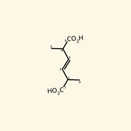 CC(C=CC(C)C(=O)O)C(=O)O